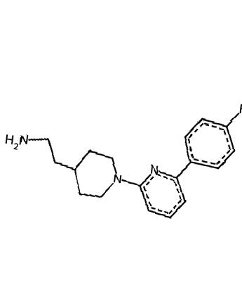 NCCC1CCN(c2cccc(-c3ccc(F)cc3)n2)CC1